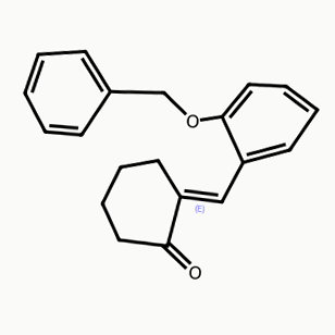 O=C1CCCC/C1=C\c1ccccc1OCc1ccccc1